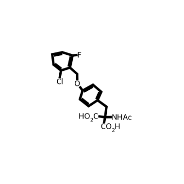 CC(=O)NC(Cc1ccc(OCc2c(F)cccc2Cl)cc1)(C(=O)O)C(=O)O